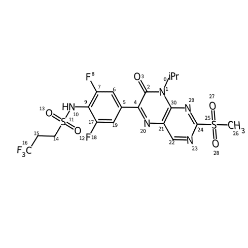 CC(C)n1c(=O)c(-c2cc(F)c(NS(=O)(=O)CCC(F)(F)F)c(F)c2)nc2cnc(S(C)(=O)=O)nc21